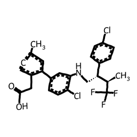 Cc1ccc(CC(=O)O)c(-c2ccc(Cl)c(NC[C@H](c3ccc(Cl)cc3)[C@@H](C)C(F)(F)F)c2)c1